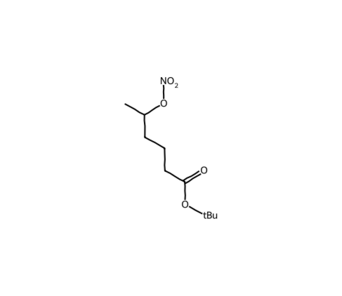 CC(CCCC(=O)OC(C)(C)C)O[N+](=O)[O-]